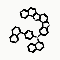 c1ccc2c(-c3ccc(N(c4ccc5sc6ccc7c8ccc9ccccc9c8oc7c6c5c4)c4cccc5ccccc45)cc3)cccc2c1